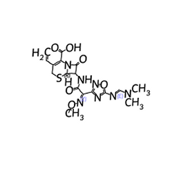 C=CC1=C(C(=O)O)N2C(=O)C(NC(=O)/C(=N\OC)c3noc(/N=C/N(C)C)n3)[C@H]2SC1